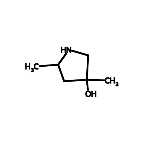 CC1CC(C)(O)CN1